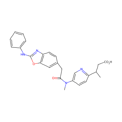 CC(CC(=O)O)c1ccc(N(C)C(=O)Cc2ccc3nc(Nc4ccccc4)oc3c2)cn1